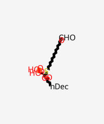 CCCCCCCCCCCCCC(=O)O[C@H](COP(=O)(O)O)CSCCCCCCCCCCCCCCOC=O